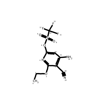 CCOc1nc(OS(=O)(=O)C(F)(F)F)cc(N)c1C#N